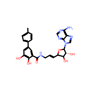 Cc1ccc(-c2cc(O)c(O)c(C(=O)NCC=CC3OC(n4cnc5c(N)ncnc54)[C@H](O)C3O)c2)cc1